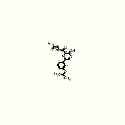 CC(C)Oc1cccc(-c2cnc(O)c(C(=O)NCC(=O)O)n2)c1